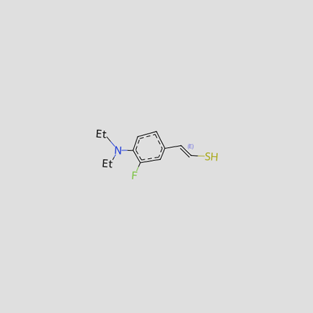 CCN(CC)c1ccc(/C=C/S)cc1F